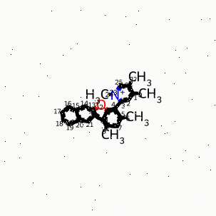 Cc1cc(-c2c(C)cc(C)c3c2oc2cc4ccccc4cc23)[n+](C)cc1C